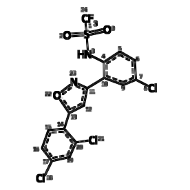 O=S(=O)(Nc1ccc(Cl)cc1-c1cc(-c2ccc(Cl)cc2Cl)on1)C(F)(F)F